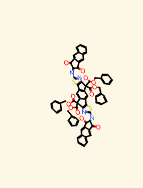 O=C(OCc1ccccc1)C1(C(=O)OCc2ccccc2)c2cc3c(cc2-c2sc(N=c4c(=O)c5cc6ccccc6cc5c4=O)nc21)C(C(=O)OCc1ccccc1)(C(=O)OCc1ccccc1)c1nc(N=c2c(=O)c4cc5ccccc5cc4c2=O)sc1-3